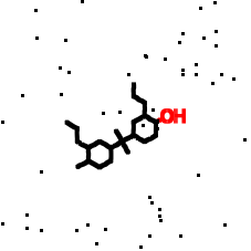 CCCC1CC(C(C)(C)C2CCC(O)C(CCC)C2)CCC1C